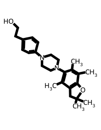 Cc1c(C)c(N2CCN(c3ccc(CCO)cc3)CC2)c(C)c2c1OC(C)(C)C2